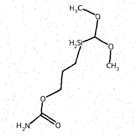 COC(OC)[SiH2]CCCOC(N)=O